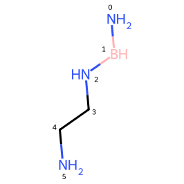 NBNCCN